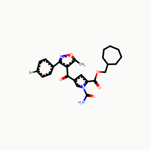 Cc1onc(-c2ccc(Br)cc2)c1C(=O)c1cc(C(=O)OCC2CCCCCC2)n(C(N)=O)c1